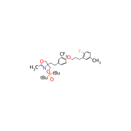 CC1=NC(CCc2ccc(OCCCc3cc(C)ccc3F)c(C(F)(F)F)c2)(COP(=O)(C(C)(C)C)C(C)(C)C)CO1